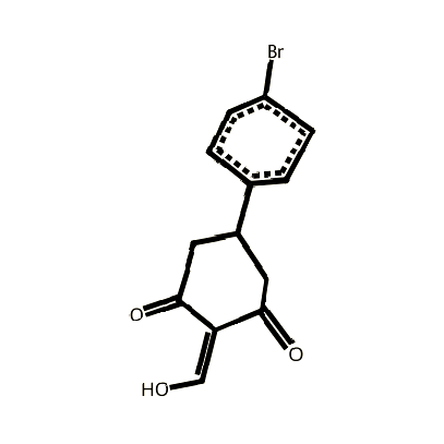 O=C1CC(c2ccc(Br)cc2)CC(=O)C1=CO